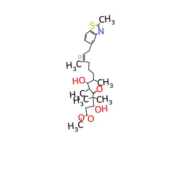 COC(=O)CC(O)C(C)(C)C(=O)C(C)C(O)C(C)CCC/C(C)=C\Cc1ccc2sc(C)nc2c1